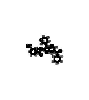 N#Cc1cccc(C(=O)Nc2nc3cc(C(=O)N4CCCCC4)cnc3n2C2CCCOC2)c1